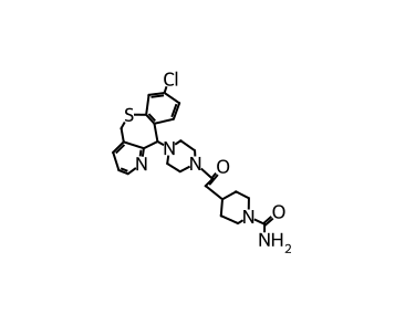 NC(=O)N1CCC(CC(=O)N2CCN(C3c4ccc(Cl)cc4SCc4cccnc43)CC2)CC1